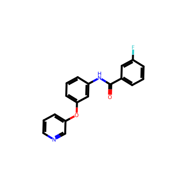 O=C(Nc1cccc(Oc2cccnc2)c1)c1cccc(F)c1